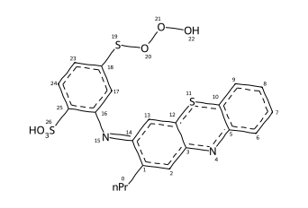 CCCc1cc2nc3ccccc3sc-2c/c1=N\c1cc(SOOO)ccc1S(=O)(=O)O